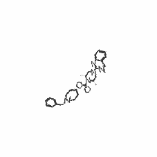 C[C@@H]1CN(c2ncc3ccccc3n2)C[C@H](C)N1C(=O)OC1CCN(Cc2ccccc2)CC1